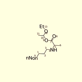 CCCCCCCCCCCCNC(C)C(=O)OC(C)OCC